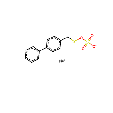 O=S(=O)([O-])OSCc1ccc(-c2ccccc2)cc1.[Na+]